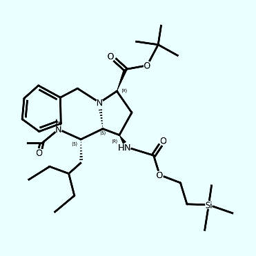 CCC(CC)C[C@H](NC(C)=O)[C@H]1[C@H](NC(=O)OCC[Si](C)(C)C)C[C@H](C(=O)OC(C)(C)C)N1Cc1ccccc1